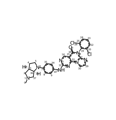 CN1C[C@H]2CCN(c3ccc(Nc4ncc5c(=O)n(-c6c(Cl)cccc6Cl)c6nccn6c5n4)cc3)[C@H]2C1